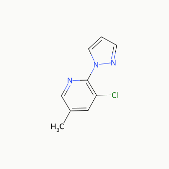 Cc1cnc(-n2cccn2)c(Cl)c1